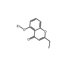 CCOc1cccc2oc(CF)cc(=O)c12